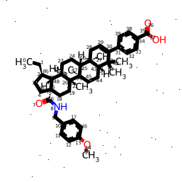 CC[C@@H]1CC[C@]2(C(=O)NCc3ccc(OC)cc3)CC[C@]3(C)[C@H](CC[C@@H]4[C@@]5(C)CC=C(c6ccc(C(=O)O)cc6)C(C)(C)[C@@H]5CC[C@]43C)[C@@H]12